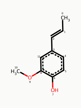 CC=Cc1[c]cc(O)c(OC)[c]1